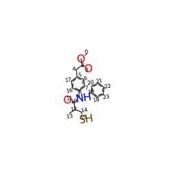 COC(=O)Cc1ccc(NC(=O)C(C)CS)cc1.c1ccccc1